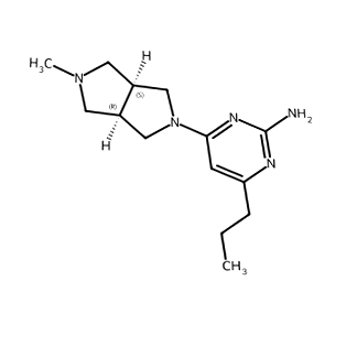 CCCc1cc(N2C[C@H]3CN(C)C[C@H]3C2)nc(N)n1